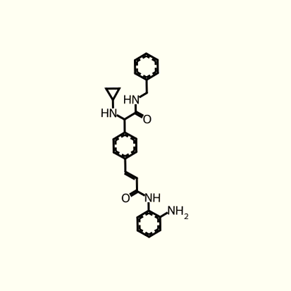 Nc1ccccc1NC(=O)C=Cc1ccc(C(NC2CC2)C(=O)NCc2ccccc2)cc1